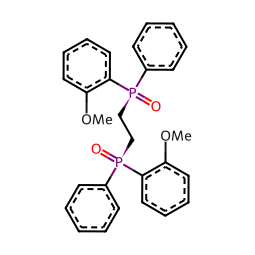 COc1ccccc1[P@](=O)(CC[P@](=O)(c1ccccc1)c1ccccc1OC)c1ccccc1